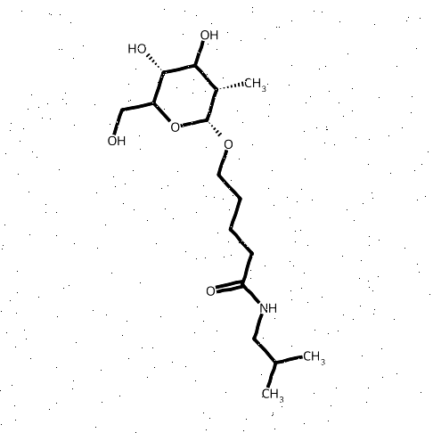 CC(C)CNC(=O)CCCCO[C@@H]1OC(CO)[C@H](O)C(O)[C@@H]1C